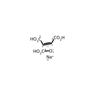 O=C(O)/C=C\C(=O)O.O=C([O-])O.[Na+]